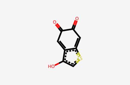 O=C1C=c2scc(O)c2=CC1=O